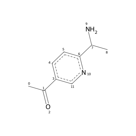 CC(=O)c1ccc(C(C)N)nc1